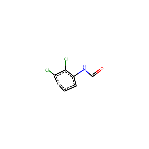 O=CNc1cccc(Cl)c1Cl